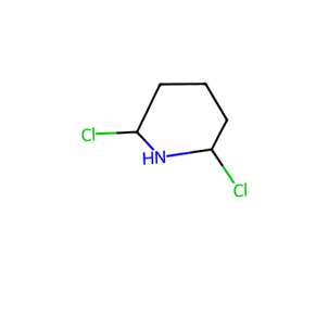 ClC1CCCC(Cl)N1